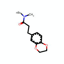 CCCCN(C)C(=O)CCc1ccc2c(c1)OCCO2